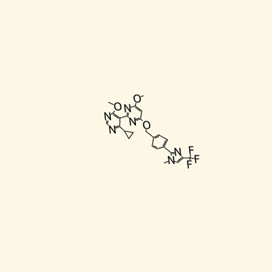 COc1cc(OCc2ccc(-c3nc(C(F)(F)F)cn3C)cc2)nc(-c2c(OC)ncnc2C2CC2)n1